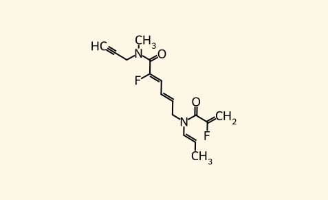 C#CCN(C)C(=O)/C(F)=C/C=C/CN(/C=C/C)C(=O)C(=C)F